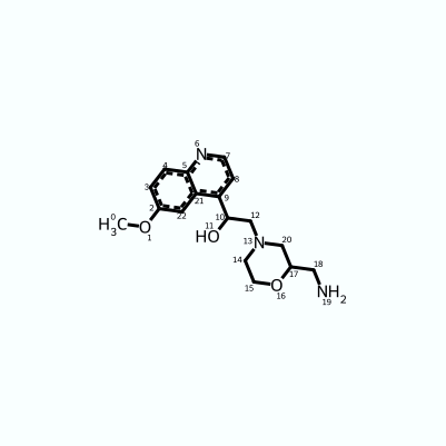 COc1ccc2nccc(C(O)CN3CCOC(CN)C3)c2c1